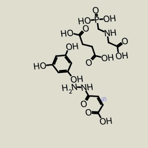 NNC(=O)/C=C\C(=O)O.O=C(O)CCC(=O)O.O=C(O)CNCP(=O)(O)O.Oc1cc(O)cc(O)c1